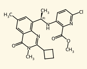 COC(=O)c1nc(Cl)ccc1N[C@H](C)c1cc(C)cc2c(=O)n(C)c(C3CCC3)nc12